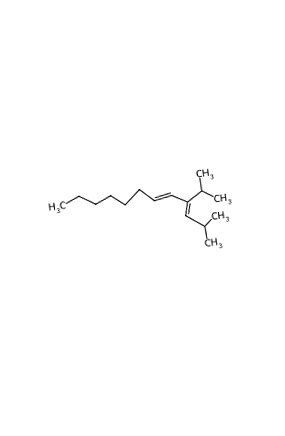 CCCCCCC=CC(=CC(C)C)C(C)C